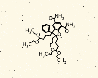 CCOC(CCCC1(CCF)Oc2c(C(N)=O)cc(C(N)=O)cc2C1(CCCC(OCC)OCC)c1ccccc1)OCC